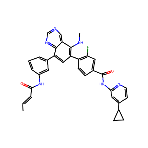 C/C=C/C(=O)Nc1cccc(-c2cc(-c3ccc(C(=O)Nc4cc(C5CC5)ccn4)cc3F)c(NC)c3cncnc23)c1